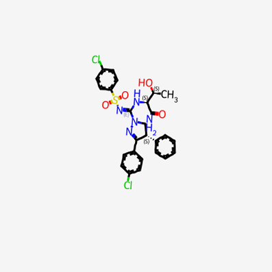 C[C@H](O)[C@H](N/C(=N\S(=O)(=O)c1ccc(Cl)cc1)N1C[C@H](c2ccccc2)C(c2ccc(Cl)cc2)=N1)C(N)=O